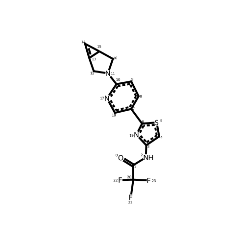 O=C(Nc1csc(-c2ccc(N3CC4=CC4C3)nc2)n1)C(F)(F)F